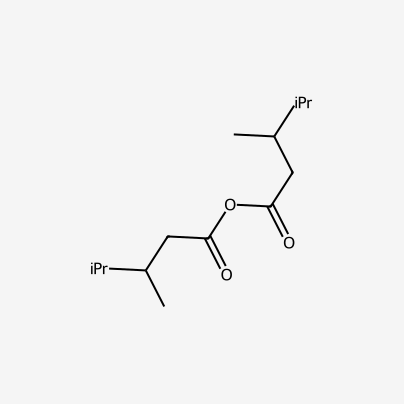 CC(C)C(C)CC(=O)OC(=O)CC(C)C(C)C